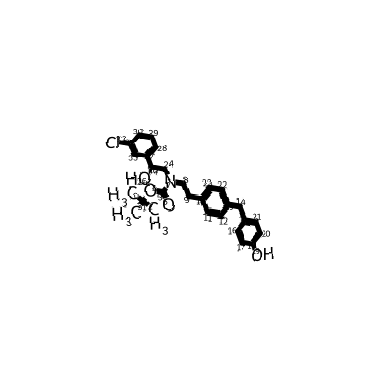 CC(C)(C)OC(=O)N(CCc1ccc(Cc2ccc(O)cc2)cc1)C[C@H](O)c1cccc(Cl)c1